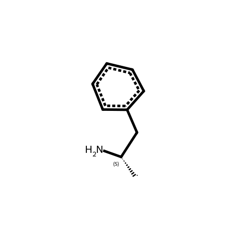 [CH2][C@H](N)Cc1ccccc1